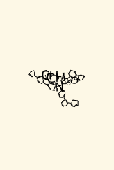 CC1(C)c2cc(-c3ccccc3)ccc2-c2ccc(N(c3ccc(-c4cccc(-c5ccccc5)c4)cc3)c3ccc(-c4cccc5c4oc4ccccc45)cc3)cc21